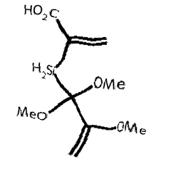 C=C([SiH2]C(OC)(OC)C(=C)OC)C(=O)O